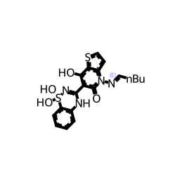 CCCC/C=N/n1c(=O)c(C2=NS(O)(O)c3ccccc3N2)c(O)c2sccc21